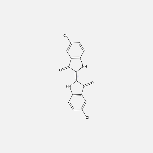 O=C1/C(=C2\Nc3ccc(Cl)cc3C2=O)Nc2ccc(Cl)cc21